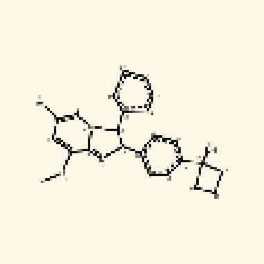 COC1=CC(Br)=NN2C1=NC(c1ccc(C3(N)CCC3)cc1)C2c1ccccc1